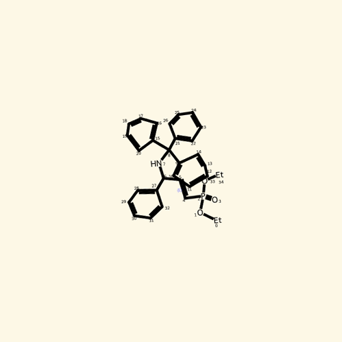 CCOP(=O)(/C=C/C(NC(c1ccccc1)(c1ccccc1)c1ccccc1)c1ccccc1)OCC